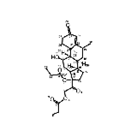 CCC(=O)OCC(=O)[C@@]1(OC(=O)CC)CC[C@H]2[C@@H]3CC(C)C4=CC(=O)CC[C@]4(C)[C@H]3C(O)C[C@@]21C